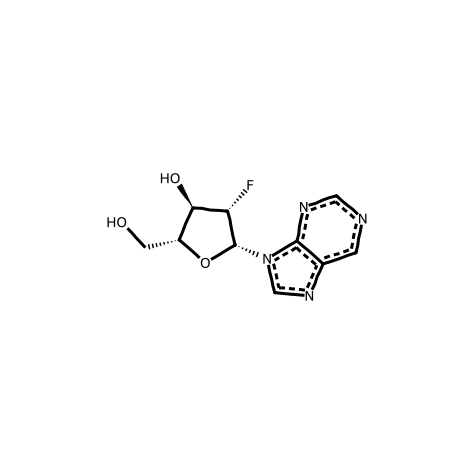 OC[C@H]1O[C@@H](n2cnc3cncnc32)[C@@H](F)[C@@H]1O